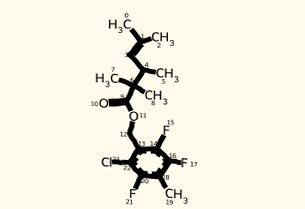 CC(C)=CC(C)C(C)(C)C(=O)OCc1c(F)c(F)c(C)c(F)c1Cl